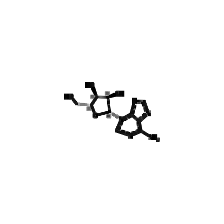 Nc1ncn([C@@H]2O[C@H](CO)[C@@H](O)[C@H]2O)c2ncnc1-2